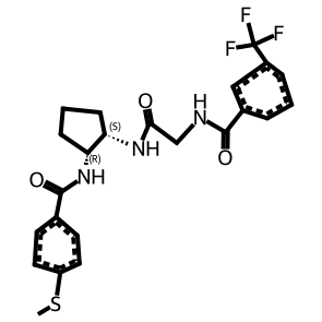 CSc1ccc(C(=O)N[C@@H]2CCC[C@@H]2NC(=O)CNC(=O)c2cccc(C(F)(F)F)c2)cc1